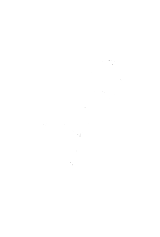 CN(C)S(=O)(=O)n1cc(-c2ccccc2)cc1C=O